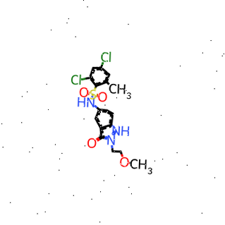 COCCn1[nH]c2ccc(NS(=O)(=O)c3c(C)cc(Cl)cc3Cl)cc2c1=O